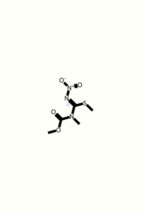 COC(=O)N(C)/C(=N/[N+](=O)[O-])SC